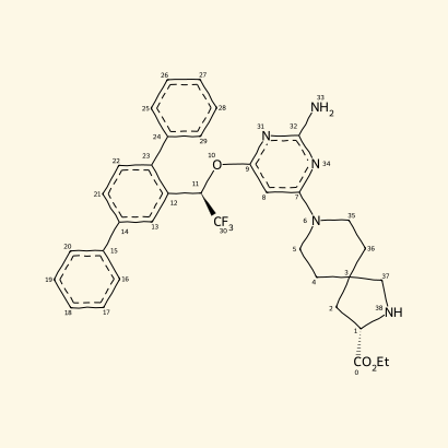 CCOC(=O)[C@@H]1CC2(CCN(c3cc(O[C@H](c4cc(-c5ccccc5)ccc4-c4ccccc4)C(F)(F)F)nc(N)n3)CC2)CN1